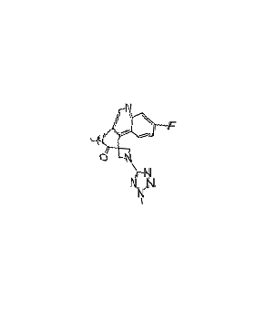 CN1C(=O)C2(CN(c3nnn(C)n3)C2)c2c1cnc1cc(F)ccc21